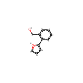 [O]Cc1ccccc1-c1ccco1